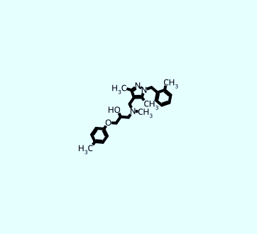 Cc1ccc(OCC(O)CN(C)Cc2c(C)nn(Cc3ccccc3C)c2C)cc1